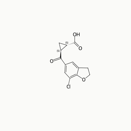 O=C(O)[C@H]1C[C@@H]1C(=O)c1cc(Cl)c2c(c1)CCO2